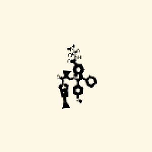 COc1ccc(-c2c(C3CCCCC3)c3ccc(C(=O)NS(=O)(=O)N(C)C)cc3n2CC2(C(=O)N3CC45CCC4(C3)CN(C3CC3)C5)CC2)cc1